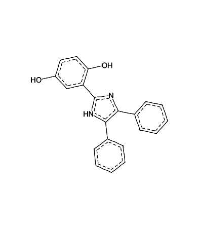 Oc1ccc(O)c(-c2nc(-c3ccccc3)c(-c3ccccc3)[nH]2)c1